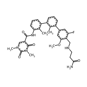 COc1cc(-c2cccc(-c3cccc(NC(=O)c4cn(C)c(=O)n(C)c4=O)c3C)c2C)cc(F)c1CNCCC(N)=O